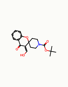 CC(C)(C)OC(=O)N1CCC2(CC1)Oc1ccccc1C(=O)/C2=C\O